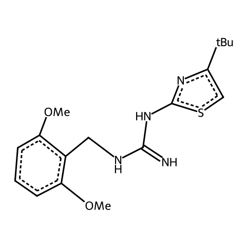 COc1cccc(OC)c1CNC(=N)Nc1nc(C(C)(C)C)cs1